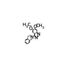 CCOc1cc2c(N3CCc4ccccc4C3)ncnc2cc1OC